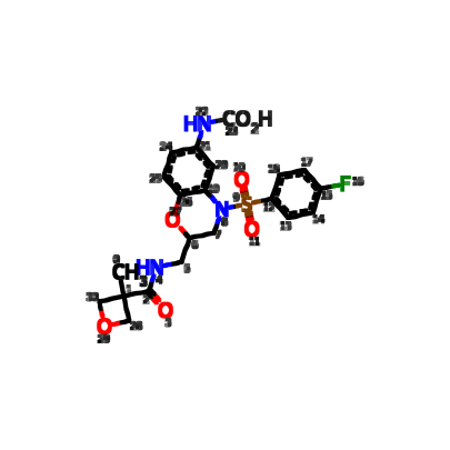 CC1(C(=O)NCC2CN(S(=O)(=O)c3ccc(F)cc3)c3cc(NC(=O)O)ccc3O2)COC1